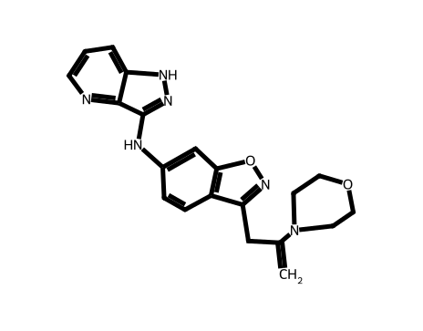 C=C(Cc1noc2cc(Nc3n[nH]c4cccnc34)ccc12)N1CCOCC1